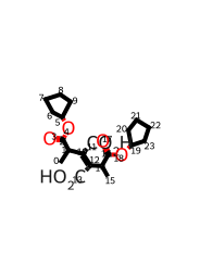 CC(C(=O)OC1CCCC1)/C(C(=O)O)=C(\C(=O)O)C(C)C(=O)OC1CCCC1